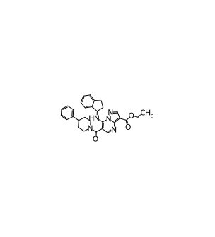 CCOC(=O)c1cnn2c(NC3CCc4ccccc43)c(C(=O)N3CCC(c4ccccc4)CC3)cnc12